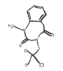 Cn1c(=O)n(SC(Cl)(Cl)Cl)c(=O)c2ccccc21